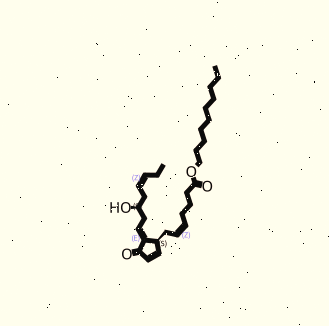 CC/C=C\C[C@H](O)C/C=C1/C(=O)C=C[C@@H]1C/C=C\CCCC(=O)OCCCCCCCCCC